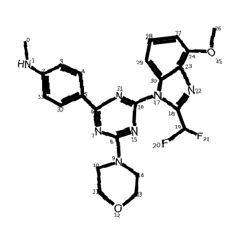 CNc1ccc(-c2nc(N3CCOCC3)nc(-n3c(C(F)F)nc4c(OC)cccc43)n2)cc1